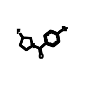 O=C(c1ccc(Br)cc1)N1CCC(F)C1